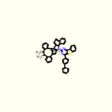 Cc1c2cc3c(c1-c1ccccc1C(C)C(C)c1ccccc1-2)c1ccc2ccccc2c1n3-c1nc(-c2ccc(-c3ccccc3)cc2)c2sc3ccccc3c2n1